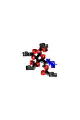 CC(C)(C)C(=O)OC[C@H](N=[N+]=[N-])[C@@H]1O[C@@H](OC(=O)C(C)(C)C)[C@H](OC(=O)C(C)(C)C)[C@H]1OC(=O)C(C)(C)C